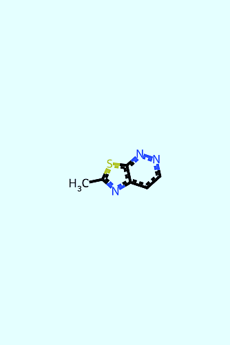 Cc1nc2ccnnc2s1